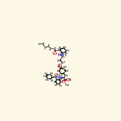 CCCCCCC(=O)c1ccccc1NCCCOc1ccc(CC(Nc2ccccc2C(=O)c2ccccc2)C(=O)OC)cc1